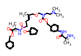 C/C(=C\CCP(=O)(N[C@@H](C)C(=O)OCc1ccccc1)Oc1ccccc1)COCN(CCN(C)C)C(=O)OCc1ccc(NC(=O)[C@H](C)N)cc1